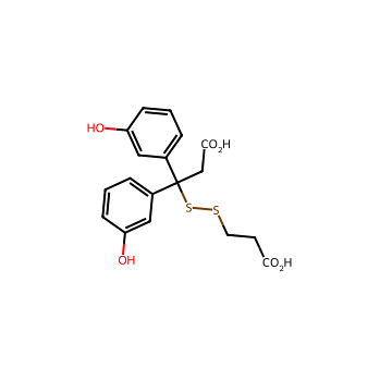 O=C(O)CCSSC(CC(=O)O)(c1cccc(O)c1)c1cccc(O)c1